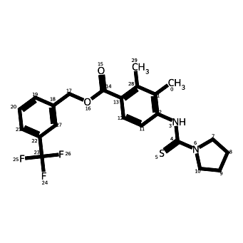 Cc1c(NC(=S)N2CCCC2)ccc(C(=O)OCc2cccc(C(F)(F)F)c2)c1C